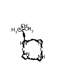 C[Si](C)(C)C#Cc1cc2cc3nc(cc4ccc(cc5nc(cc1[nH]2)C=C5)[nH]4)C=C3